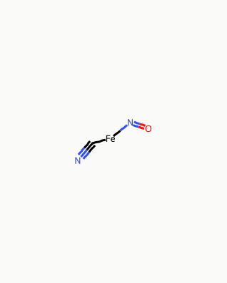 N#[C][Fe][N]=O